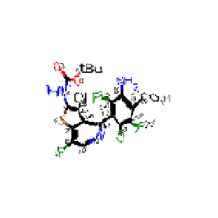 CC(C)(C)OC(=O)Nc1sc2c(F)cnc(-c3c(F)c(N)c(C(=O)O)c(F)c3Cl)c2c1C#N